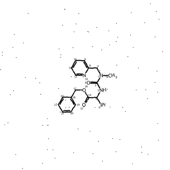 CC(C)C(NC(=O)N(C)Cc1ccccn1)C(=O)OCc1ccccc1